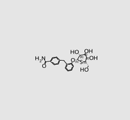 NC(=O)c1ccc(Cc2ccccc2O[C@H]2S[C@@H](CO)[C@@H](O)[C@H](O)[C@H]2O)cc1